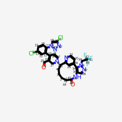 C[C@@H]1CCC[C@H](N2C=C(F)C(c3cc(Cl)ccc3-n3cc(Cl)nn3)=C(C=O)C2)c2cc(ccn2)-c2c(cnn2CC(F)(F)F)NC1=O